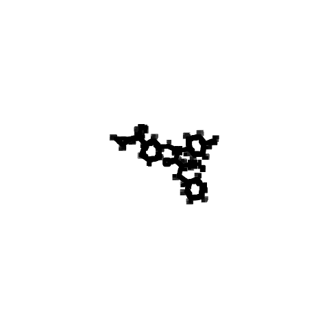 CCN(c1cccc(CN(C(=O)[C@@H](N)Cc2cccnc2)c2ccc(F)cc2)c1)C1CC1